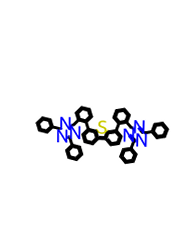 c1ccc(-c2nc(-c3ccccc3)nc(-c3ccccc3-c3cccc4c3sc3c(-c5ccccc5-c5nc(-c6ccccc6)nc(-c6ccccc6)n5)cccc34)n2)cc1